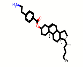 CC(C)CCC[C@@H](C)[C@H]1CCC2C3CC=C4CC(OC(=O)c5ccc(CCN)cc5)CC[C@]4(C)C3CC[C@@]21C